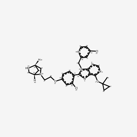 CC1(Oc2ncnc3c2nc(-c2ccc(OCCN4C[C@@H]5C[C@H]4CN5)cc2Cl)n3Cc2cc(Cl)ccn2)CC1